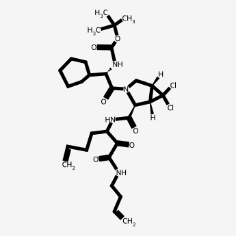 C=CCCNC(=O)C(=O)C(CCC=C)NC(=O)[C@@H]1[C@@H]2[C@H](CN1C(=O)[C@@H](NC(=O)OC(C)(C)C)C1CCCCC1)C2(Cl)Cl